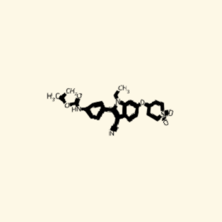 CCn1c(-c2ccc(NC(=O)OC(C)C)cc2)c(C#N)c2ccc(OC3CCS(=O)(=O)CC3)cc21